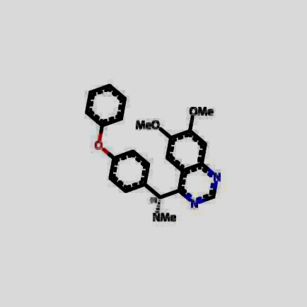 CN[C@H](c1ccc(Oc2ccccc2)cc1)c1ncnc2cc(OC)c(OC)cc12